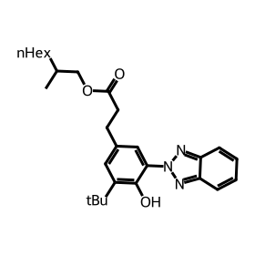 CCCCCCC(C)COC(=O)CCc1cc(-n2nc3ccccc3n2)c(O)c(C(C)(C)C)c1